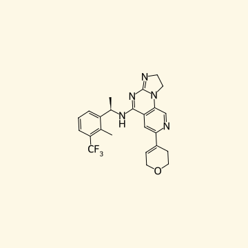 Cc1c([C@@H](C)NC2=NC3=NCCN3c3cnc(C4=CCOCC4)cc32)cccc1C(F)(F)F